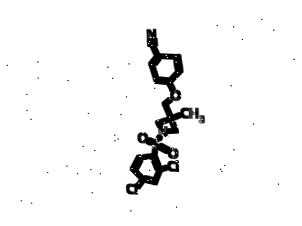 CC1(COc2ccc(C#N)cc2)CN(S(=O)(=O)c2ccc(Cl)cc2Cl)C1